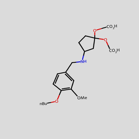 CCCCOc1ccc(CNC2CCC(OC(=O)O)(OC(=O)O)C2)cc1OC